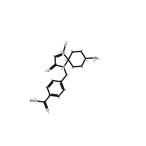 COC(=O)c1ccc(CN2C(=O)C=[N+]([O-])C23CCC(C(C)(C)C)CC3)cc1